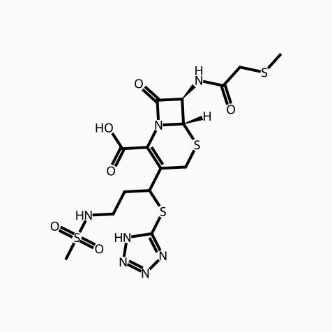 CSCC(=O)N[C@@H]1C(=O)N2C(C(=O)O)=C(C(CCNS(C)(=O)=O)Sc3nnn[nH]3)CS[C@@H]12